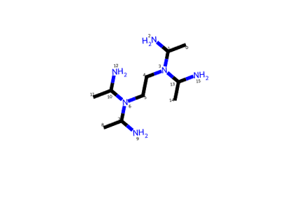 CC(N)N(CCN(C(C)N)C(C)N)C(C)N